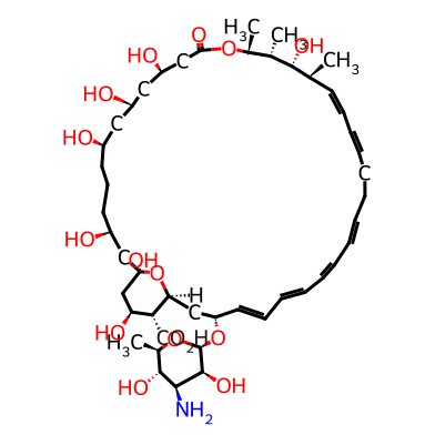 C[C@@H]1[C@H](O)[C@@H](C)/C=C/C=C/CC/C=C/C=C/C=C/C=C/[C@H](O[C@@H]2O[C@H](C)[C@@H](O)[C@H](N)[C@@H]2O)C[C@@H]2O[C@](O)(C[C@@H](O)CCC[C@@H](O)C[C@@H](O)C[C@@H](O)CC(=O)O[C@H]1C)C[C@H](O)[C@H]2C(=O)O